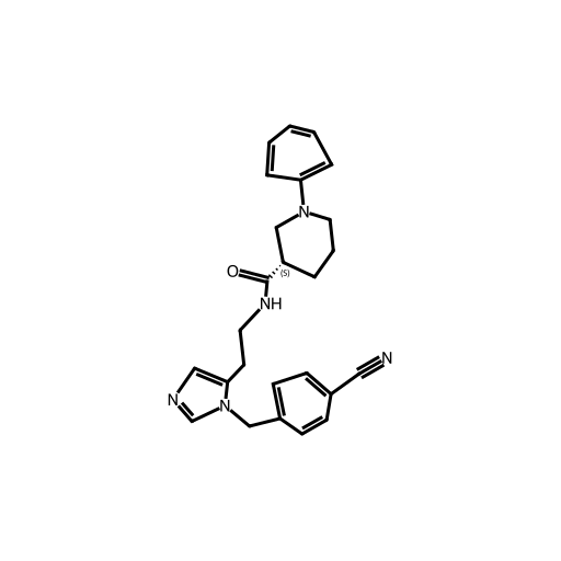 N#Cc1ccc(Cn2cncc2CCNC(=O)[C@H]2CCCN(c3ccccc3)C2)cc1